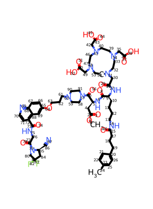 COC(=O)C[C@H](NC(=O)[C@H](CCCCNC(=O)CCCc1ccc(C)cc1)NC(=O)CN1CCN(CC(=O)O)CCN(CC(=O)O)CCN(CC(=O)O)CC1)C(=O)N1CCN(CCCOc2ccc3nccc(C(=O)NCC(=O)N4CC(F)(F)C[C@@H]4C#N)c3c2)CC1